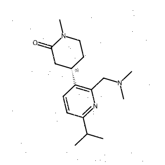 CC(C)c1ccc([C@H]2CCN(C)C(=O)C2)c(CN(C)C)n1